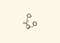 O=C(OCc1ccccc1)N1CC2C=CC1C(Cc1ccccc1)C2